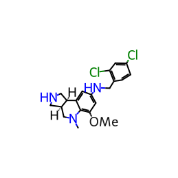 COc1cc(NCc2ccc(Cl)cc2Cl)cc2c1N(C)C[C@H]1CNC[C@@H]21